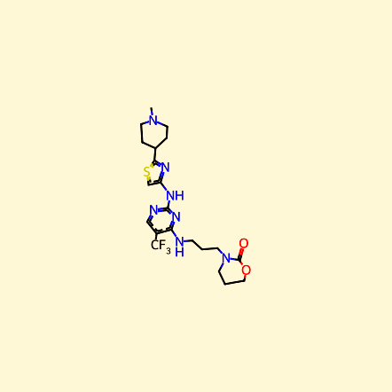 CN1CCC(c2nc(Nc3ncc(C(F)(F)F)c(NCCCN4CCCOC4=O)n3)cs2)CC1